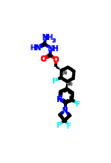 N=C(N)NC(=O)OC[C@@H]1CCC[C@H](c2cnc(N3CC(F)(F)C3)c(F)c2)C1F